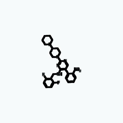 O=[N+]([O-])c1ccccc1-c1cnc(N2CCC(N3CCCCC3)CC2)nc1NCc1c(F)cccc1F